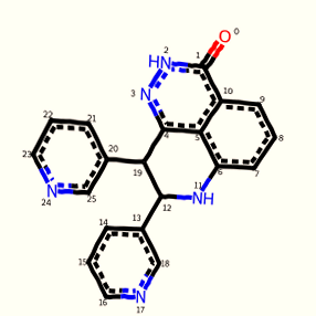 O=c1[nH]nc2c3c(cccc13)NC(c1cccnc1)C2c1cccnc1